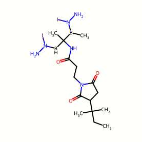 CCC(C)(C)C1CC(=O)N(CCC(=O)NC(C)(BN(N)I)B(C)N(N)I)C1=O